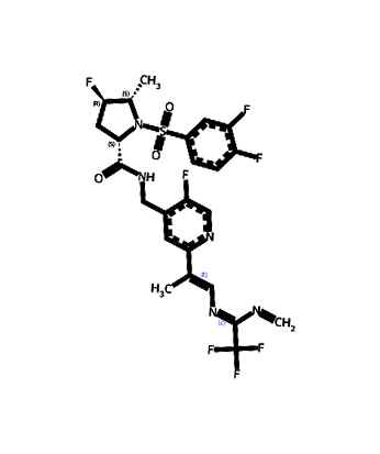 C=N/C(=N\C=C(/C)c1cc(CNC(=O)[C@@H]2C[C@@H](F)[C@H](C)N2S(=O)(=O)c2ccc(F)c(F)c2)c(F)cn1)C(F)(F)F